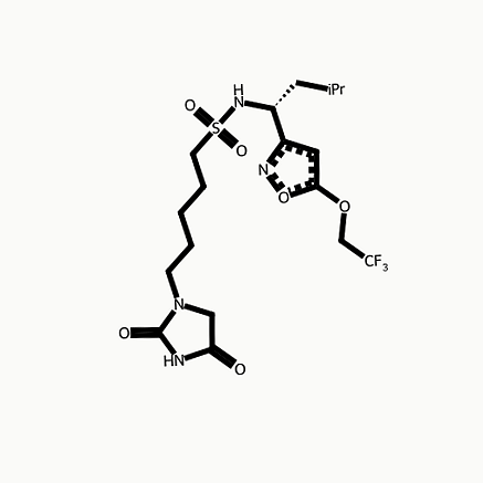 CC(C)C[C@@H](NS(=O)(=O)CCCCCN1CC(=O)NC1=O)c1cc(OCC(F)(F)F)on1